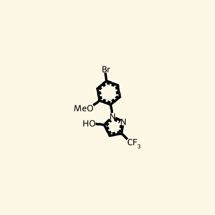 COc1cc(Br)ccc1-n1nc(C(F)(F)F)cc1O